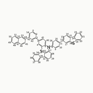 c1cc(-c2ccc(N(c3ccc(-c4ccc5c(c4)sc4ccccc45)cc3)c3cccc4c3sc3ccccc34)cc2)cc(-c2ccc3ccccc3c2)c1